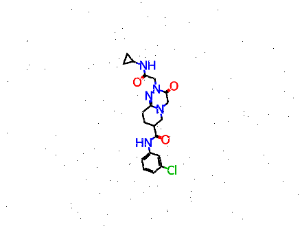 O=C(CN1N=C2CCC(C(=O)Nc3cccc(Cl)c3)CN2CC1=O)NC1CC1